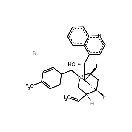 C=C[C@H]1C[N+]2(CC3C=CC(C(F)(F)F)=CC3)CC[C@H]1C[C@H]2[C@H](O)c1ccnc2ccccc12.[Br-]